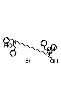 OCC[N+](CCCCCCCCCCCCN(Cc1ccccc1)C(O)Cc1ccccc1)(Cc1ccccc1)C(O)Cc1ccccc1.[Br-]